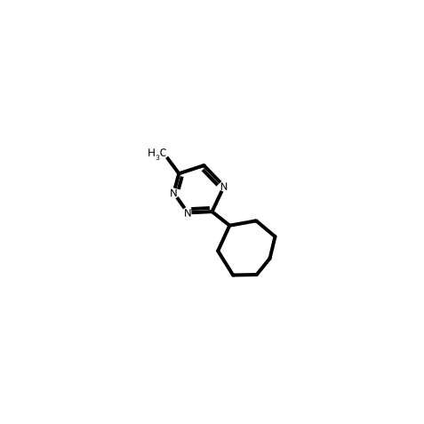 Cc1cnc(C2CCCCCC2)nn1